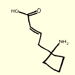 NC1(C/C=C/C(=O)O)CCC1